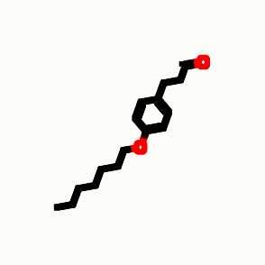 CCCCCCCOc1ccc(CC[C]=O)cc1